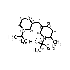 CC(C)N1CCOC(CC2CN(C(C)(C)C)C(C)CO2)C1